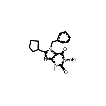 CCCn1c(=O)[nH]c2nc(C3CCCC3)n(Cc3ccccc3)c2c1=O